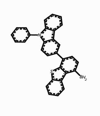 Bc1ccc(-c2ccc3c(c2)c2ccccc2n3-c2ccccc2)c2sc3ccccc3c12